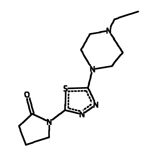 CCN1CCN(c2nnc(N3CCCC3=O)s2)CC1